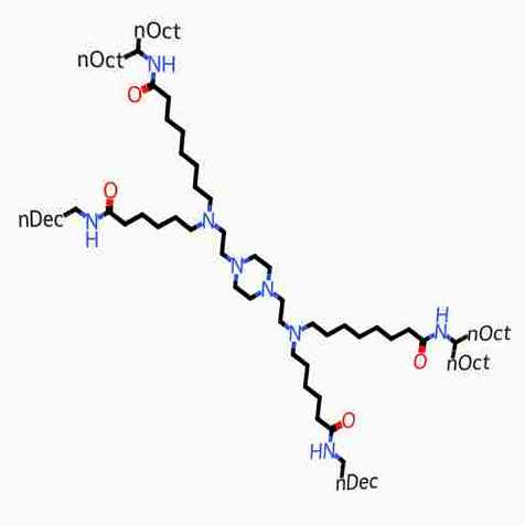 CCCCCCCCCCCNC(=O)CCCCCN(CCCCCCCC(=O)NC(CCCCCCCC)CCCCCCCC)CCN1CCN(CCN(CCCCCCCC(=O)NC(CCCCCCCC)CCCCCCCC)CCCCCC(=O)NCCCCCCCCCCC)CC1